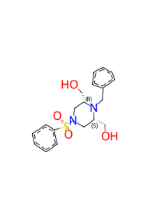 O=S(=O)(c1ccccc1)N1C[C@@H](CO)N(Cc2ccccc2)[C@@H](CO)C1